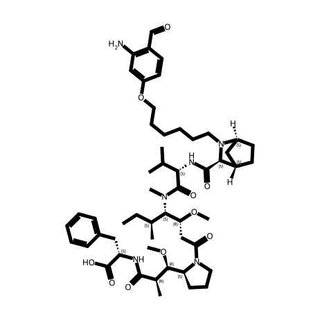 CC[C@H](C)[C@@H]([C@@H](CC(=O)N1CCC[C@H]1[C@H](OC)[C@@H](C)C(=O)N[C@@H](Cc1ccccc1)C(=O)O)OC)N(C)C(=O)[C@@H](NC(=O)[C@@H]1[C@H]2CC[C@@H](C2)N1CCCCCCOc1ccc(C=O)c(N)c1)C(C)C